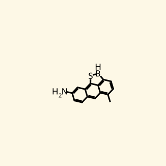 Cc1ccc2c3c(c4cc(N)ccc4cc13)SB2